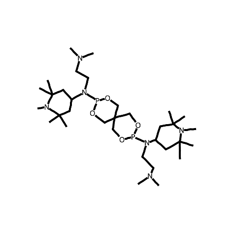 CN(C)CCN(C1CC(C)(C)N(C)C(C)(C)C1)P1OCC2(CO1)COP(N(CCN(C)C)C1CC(C)(C)N(C)C(C)(C)C1)OC2